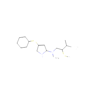 CON(CC(SC(C)=O)C(C)C(=O)O)C1CC(SC2CCCCC2)CN1